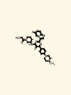 CN1CCN(c2ccc(-c3nc(-c4cnc5ccc(F)cn45)nc(NC4CCCN(C(=O)CC#N)C4)c3F)cc2)CC1